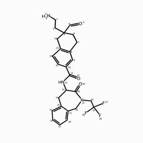 NCCC1(C=O)CCc2cc(C(=O)NC3Cc4ccccc4CN(CC(F)(F)F)C3=O)ccc2C1